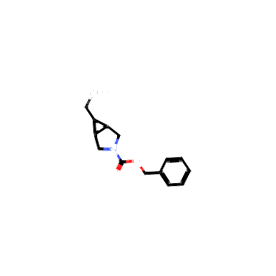 O=CCC1C2CN(C(=O)OCc3ccccc3)CC12